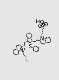 CCCCC[n+]1c(/C=C/C2=C(Sc3ccccc3)C(=C/C=C3\C=Cc4ccccc4N3CCCCS(=O)(=O)O)/c3ccccc32)ccc2ccccc21